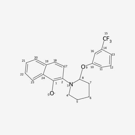 [O]c1c(N2CCCCC2Oc2cccc(C(F)(F)F)c2)ccc2ccccc12